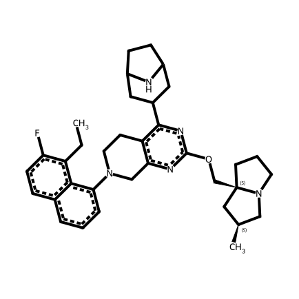 CCc1c(F)ccc2cccc(N3CCc4c(nc(OC[C@@]56CCCN5C[C@@H](C)C6)nc4C4CC5CCC(C4)N5)C3)c12